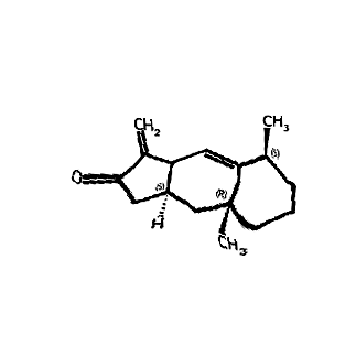 C=C1C(=O)C[C@@H]2C[C@@]3(C)CCC[C@H](C)C3=CC12